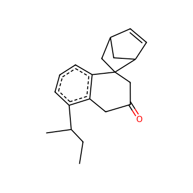 CCC(C)c1cccc2c1CC(=O)CC21CC2C=CC1C2